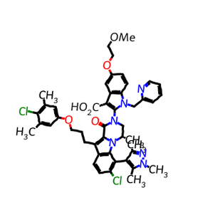 COCCOc1ccc2c(c1)c(C(=O)O)c(N1C[C@@H](C)n3c(c(CCCOc4cc(C)c(Cl)c(C)c4)c4ccc(Cl)c(-c5c(C)nn(C)c5C)c43)C1=O)n2Cc1ccccn1